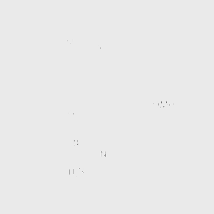 COc1cccc(-c2cc(OCc3cccc4c3COCO4)nc(N)n2)c1